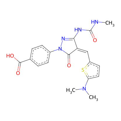 CNC(=O)NC1=NN(c2ccc(C(=O)O)cc2)C(=O)C1=Cc1ccc(N(C)C)s1